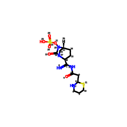 N=C(NC(=O)CC1NCCCS1)[C@@H]1CC[C@@H]2CN1C(=O)N2OS(=O)(=O)O